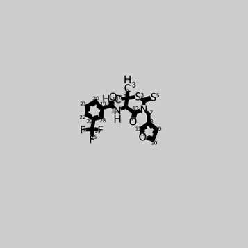 CC1(C)SC(=S)N(Cc2ccoc2)C(=O)C1NC(=O)c1cccc(C(F)(F)F)c1